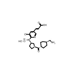 Cl.Cl.NC[C@H]1CC[C@H](C(=O)N2CC[C@@H](Nc3ncc(C=CC(=O)O)cc3Cl)C2)CC1